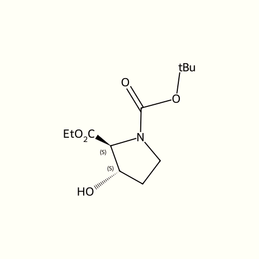 CCOC(=O)[C@@H]1[C@@H](O)CCN1C(=O)OC(C)(C)C